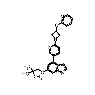 CC(C)(O)COc1cc(-c2ccc(N3CC(Oc4ccccn4)C3)nc2)c2ccnn2c1